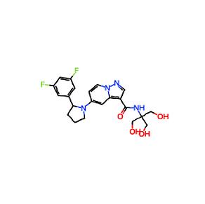 O=C(NC(CO)(CO)CO)c1cnn2ccc(N3CCCC3c3cc(F)cc(F)c3)cc12